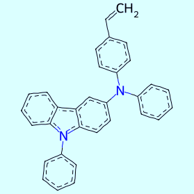 C=Cc1ccc(N(c2ccccc2)c2ccc3c(c2)c2ccccc2n3-c2ccccc2)cc1